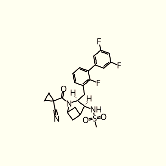 CS(=O)(=O)N[C@H]1C2CC(C2)N(C(=O)C2(C#N)CC2)[C@H]1Cc1cccc(-c2cc(F)cc(F)c2)c1F